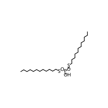 CCCCCCCCCCCCSOP(O)OSCCCCCCCCCCCC